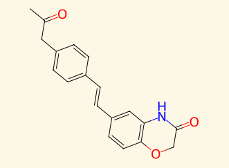 CC(=O)Cc1ccc(C=Cc2ccc3c(c2)NC(=O)CO3)cc1